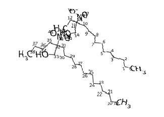 CCCCCCCCCCCC(CC)(CO)[N+](=O)[O-].CCCCCCCCCCCCCC(CO)(CCCC)[N+](=O)[O-]